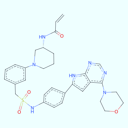 C=CC(=O)N[C@@H]1CCCN(c2cccc(CS(=O)(=O)Nc3ccc(-c4cc5c(N6CCOCC6)ncnc5[nH]4)cc3)c2)C1